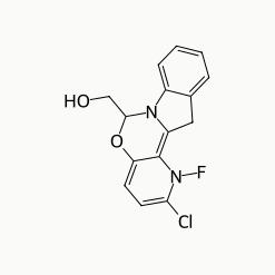 OCC1OC2=CC=C(Cl)N(F)C2=C2Cc3ccccc3N21